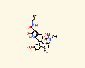 Cc1ccc(O)cc1[C@@]12Cc3[nH]c(=O)c(C(=O)NCCC(C)C)cc3C[C@@]1(O)[C@H]1[C@@H](CN1C)C2